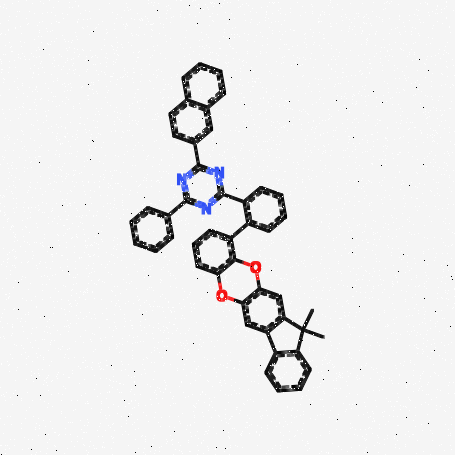 CC1(C)c2ccccc2-c2cc3c(cc21)Oc1c(cccc1-c1ccccc1-c1nc(-c2ccccc2)nc(-c2ccc4ccccc4c2)n1)O3